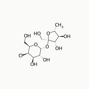 C[C@H]1O[C@](CO)(O[C@H]2O[C@H](CO)[C@H](Cl)[C@H](O)[C@H]2O)[C@@H](O)[C@@H]1O